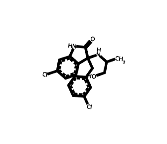 CC(CO)NC1(Cc2cccc(Cl)c2)C(=O)Nc2cc(Cl)ccc21